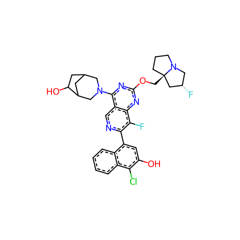 Oc1cc(-c2ncc3c(N4CC5CC(O)C(C5)C4)nc(OC[C@@]45CCCN4C[C@H](F)C5)nc3c2F)c2ccccc2c1Cl